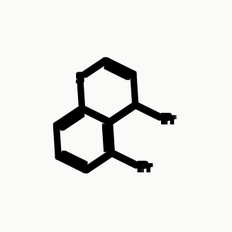 CC(C)c1cccc2c1C(C(C)C)C=CS2